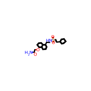 NC(=O)COc1cccc2c(CCNS(=O)(=O)C=Cc3ccccc3)cccc12